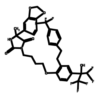 CC1(c2ccc3c(c2)OCO3)NC(=O)N(CCCCOc2ccc(C(O)(C(F)F)C(F)(F)F)cc2CCc2ccc(C(F)(F)F)cc2)C1=O